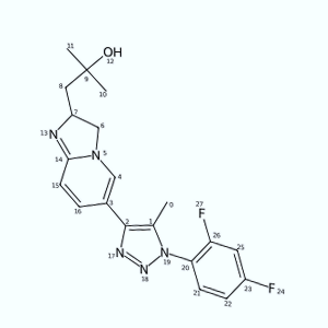 Cc1c(C2=CN3CC(CC(C)(C)O)N=C3C=C2)nnn1-c1ccc(F)cc1F